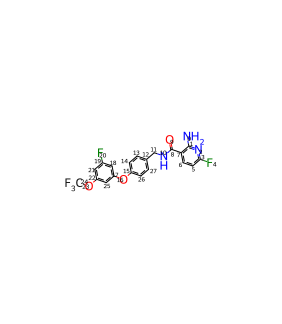 Nc1nc(F)ccc1C(=O)NCc1ccc(Oc2cc(F)cc(OC(F)(F)F)c2)cc1